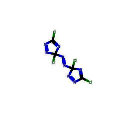 ClC1=NC(Cl)(N=NC2(Cl)N=NC(Cl)=N2)N=N1